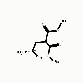 C[C@@H](CC(C(=O)OC(C)(C)C)C(=O)OC(C)(C)C)C(=O)O